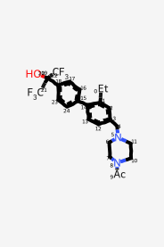 CCc1cc(CN2CCN(C(C)=O)CC2)ccc1-c1ccc(C(O)(C(F)(F)F)C(F)(F)F)cc1